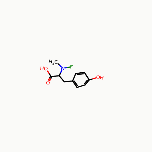 CN(F)C(Cc1ccc(O)cc1)C(=O)O